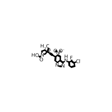 COC1(C#Cc2cc3ncnc(Nc4cccc(Cl)c4F)c3cc2[N+](=O)[O-])CCN(C(=O)O)C1